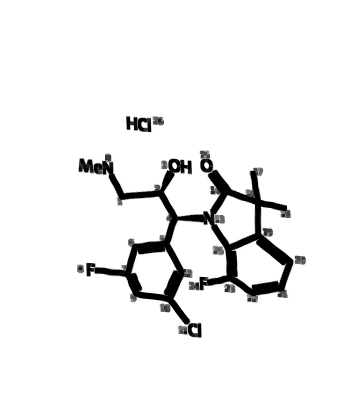 CNC[C@@H](O)[C@H](c1cc(F)cc(Cl)c1)N1C(=O)C(C)(C)c2cccc(F)c21.Cl